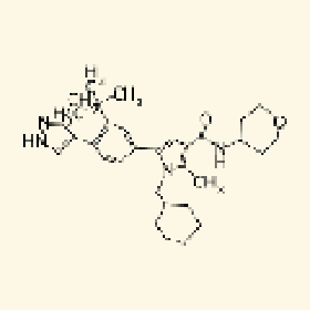 Cc1n[nH]cc1-c1ccc(-c2cc(C(=O)NC3CCOCC3)c(C)n2CC2CCCCC2)cc1C(C)(C)C